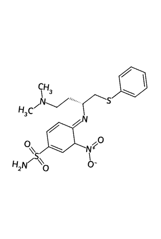 CN(C)CC[C@H](CSc1ccccc1)N=C1C=CC(S(N)(=O)=O)=CC1[N+](=O)[O-]